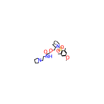 COc1cc(C)c(S(=O)(=O)N2CCCCC2COCC(=O)NCCN2CCCC2)c(C)c1